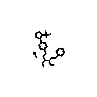 CC#N.CCC(CCc1ccc(C2CCCC2C(F)(F)F)cc1)N(CC)CCc1ccccc1